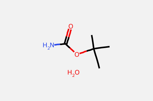 CC(C)(C)OC(N)=O.O